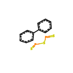 S=PSP=S.c1ccc(-c2ccccc2)cc1